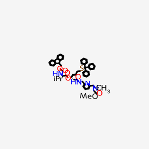 COC(=O)CN(C)Cc1cccc(CNC(=O)C[C@@H](C=CCCSC(c2ccccc2)(c2ccccc2)c2ccccc2)OC(=O)[C@H](NC(=O)OCC2c3ccccc3-c3ccccc32)C(C)C)n1